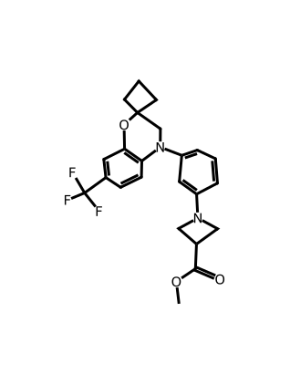 COC(=O)C1CN(c2cccc(N3CC4(CCC4)Oc4cc(C(F)(F)F)ccc43)c2)C1